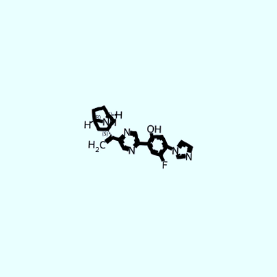 C=C(c1cnc(-c2cc(F)c(-n3ccnc3)cc2O)cn1)[C@@H]1C[C@H]2CC[C@@H](C1)N2